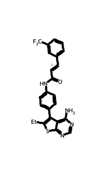 CCc1sc2ncnc(N)c2c1-c1ccc(NC(=O)/C=C/c2cccc(C(F)(F)F)c2)cc1